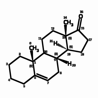 C[C@]12CCCCC1=CC[C@@H]1C2CC[C@]2(C)C(=O)CC[C@@H]12